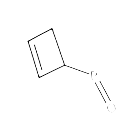 O=PC1C=CC1